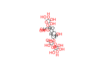 CC(C)(/C=C/C[C@](C)(O[C@@H]1O[C@H](CO)[C@@H](O)[C@H](O)[C@H]1O)[C@H]1CC[C@]2(C)[C@@H]1[C@H](O)C[C@@H]1[C@@]3(C)CC[C@H](O[C@@H]4O[C@H](CO)[C@@H](O)[C@H](O)[C@H]4O[C@@H]4O[C@H](CO)[C@@H](O)[C@H](O)[C@H]4O)C(C)(C)[C@@H]3[C@@H](O)C[C@]12C)OO